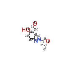 CCCC(C=O)n1cc2c(CC=O)c(O)ccc2n1